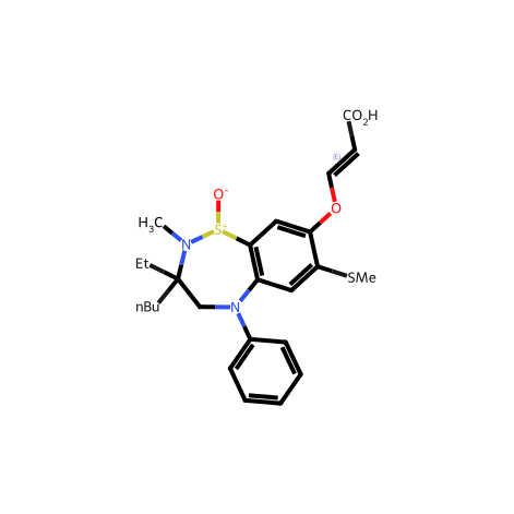 CCCCC1(CC)CN(c2ccccc2)c2cc(SC)c(O/C=C/C(=O)O)cc2[S+]([O-])N1C